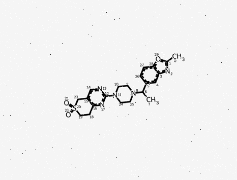 Cc1nc2cc(C(C)N3CCN(c4ncc5c(n4)CCS(=O)(=O)C5)CC3)ccc2o1